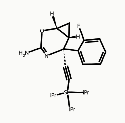 CC(C)[Si](C#C[C@]1(c2ccccc2F)N=C(N)O[C@@H]2C[C@@H]21)(C(C)C)C(C)C